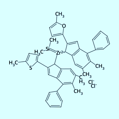 Cc1ccc(C2=Cc3c(cc(C)c(C)c3-c3ccccc3)[CH]2[Zr+2]([CH]2C(c3ccc(C)s3)=Cc3c2cc(C)c(C)c3-c2ccccc2)=[Si](C)C)o1.[Cl-].[Cl-]